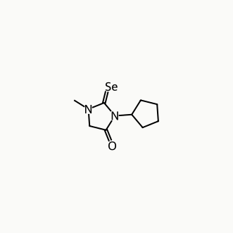 CN1CC(=O)N(C2CCCC2)C1=[Se]